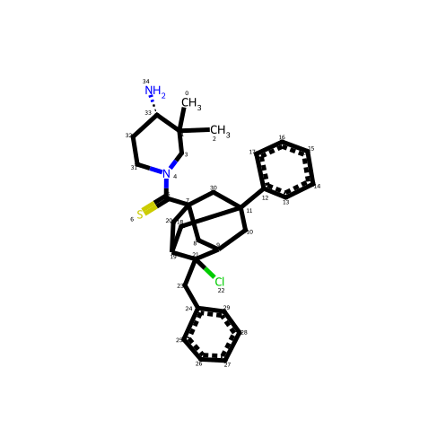 CC1(C)CN(C(=S)C23CC4CC(c5ccccc5)(CC(C2)C4(Cl)Cc2ccccc2)C3)CC[C@@H]1N